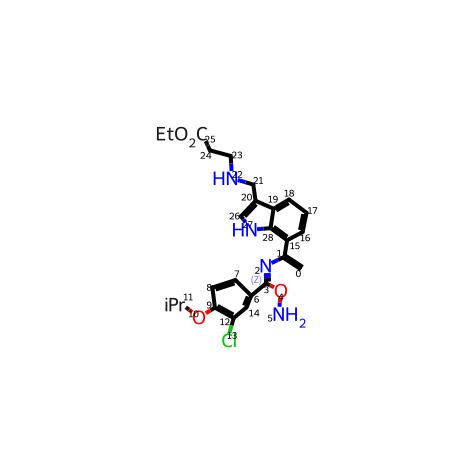 C=C(/N=C(\ON)c1ccc(OC(C)C)c(Cl)c1)c1cccc2c(CNCCC(=O)OCC)c[nH]c12